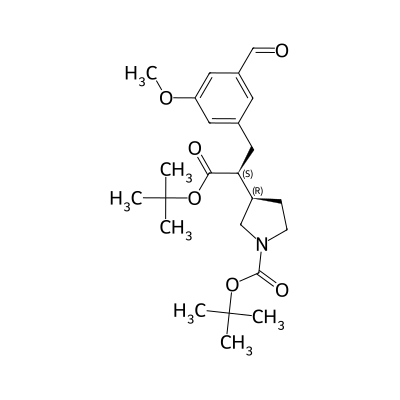 COc1cc(C=O)cc(C[C@H](C(=O)OC(C)(C)C)[C@H]2CCN(C(=O)OC(C)(C)C)C2)c1